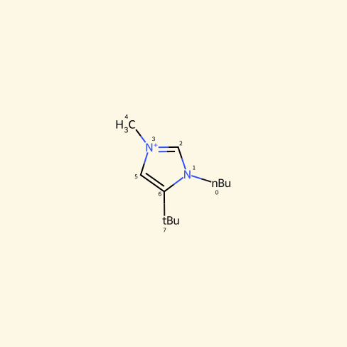 CCCCn1c[n+](C)cc1C(C)(C)C